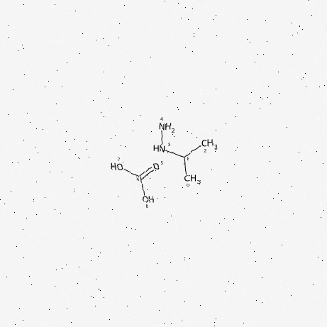 CC(C)NN.O=C(O)O